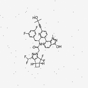 Cn1nc(O)c2cccc(-c3ccc(C#CC(C)(C)O)nc3[C@H](Cc3cc(F)cc(F)c3)NC(=O)Cn3nc(C(F)F)c4c3C(F)(F)[C@@H]3CC[C@H]43)c21